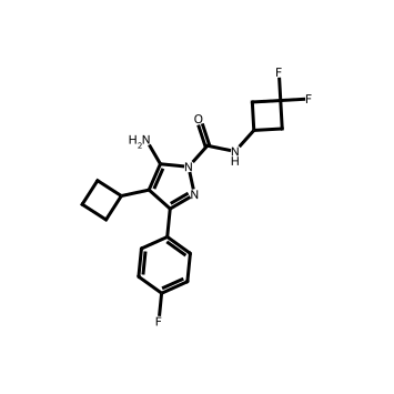 Nc1c(C2CCC2)c(-c2ccc(F)cc2)nn1C(=O)NC1CC(F)(F)C1